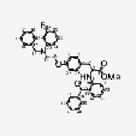 COC(=O)[C@H](Cc1ccc(OCCN(Cc2ccccc2)c2cccc(F)c2)cc1)Nc1ccccc1C(=O)c1ccccc1